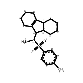 Cc1ccc(S(=O)(=O)N(N)C2C3=C(CCCC3)C3CCCCC32)cc1